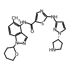 Cc1ccc2c(cnn2C2CCCCO2)c1NC(=O)c1cnc(Nc2ccn([C@@H]3CCNC3)n2)s1